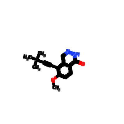 COc1ccc2c(=O)[nH]ncc2c1C#C[Si](C)(C)C